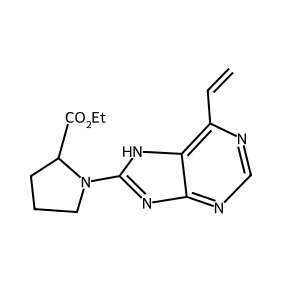 C=Cc1ncnc2nc(N3CCCC3C(=O)OCC)[nH]c12